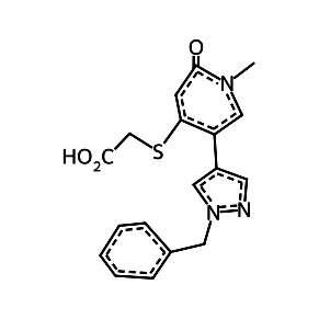 Cn1cc(-c2cnn(Cc3ccccc3)c2)c(SCC(=O)O)cc1=O